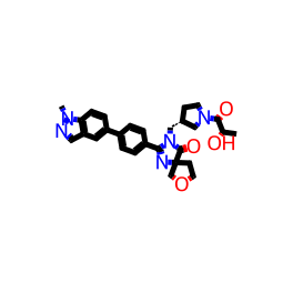 CC(O)C(=O)N1CC[C@@H](CN2C(=O)C3(CCOC3)N=C2c2ccc(-c3ccc4c(cnn4C)c3)cc2)C1